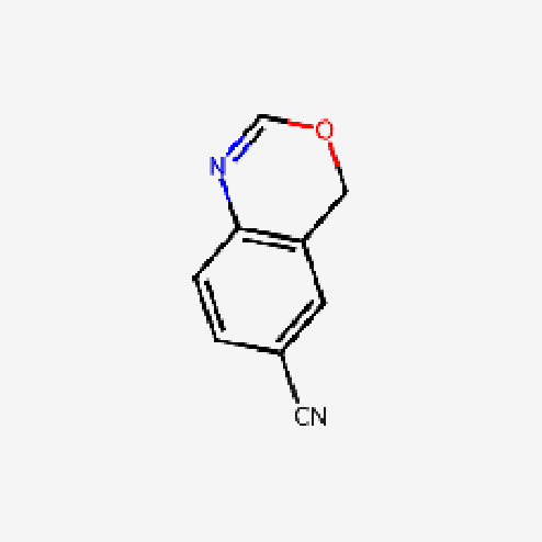 N#Cc1ccc2c(c1)COC=N2